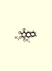 CC1=C(C)c2cc3ccccc3cc2C(=O)C1=O